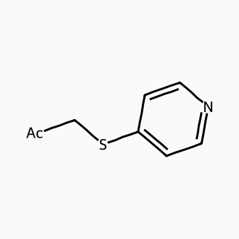 CC(=O)CSc1ccncc1